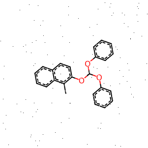 Cc1c(OC(Oc2ccccc2)Oc2ccccc2)ccc2ccccc12